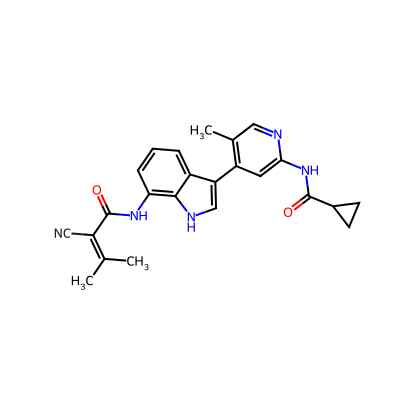 CC(C)=C(C#N)C(=O)Nc1cccc2c(-c3cc(NC(=O)C4CC4)ncc3C)c[nH]c12